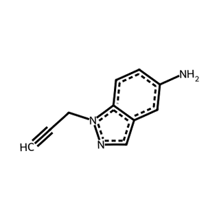 C#CCn1ncc2cc(N)ccc21